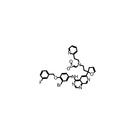 O=S(=O)=CN(CCc1ccccn1)CCC1(c2cc3c(Nc4ccc(OCc5cccc(F)c5)c(Br)c4)ncnc3cn2)CC=CO1